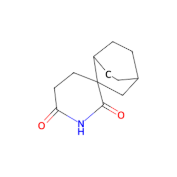 O=C1CCC2(CC3CCC2CC3)C(=O)N1